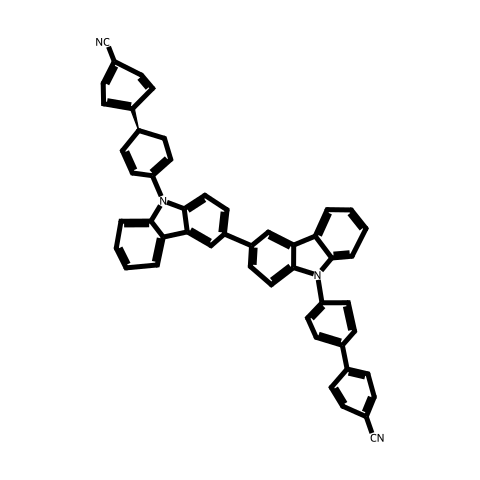 N#Cc1ccc(-c2ccc(-n3c4ccccc4c4cc(-c5ccc6c(c5)c5ccccc5n6C5=CC[C@H](c6ccc(C#N)cc6)C=C5)ccc43)cc2)cc1